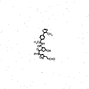 Cc1ncsc1-c1ccc([C@H](C)NC(=O)[C@@H]2C[C@@H](O)CN2C(=O)[C@@H](c2cc(CCC=O)no2)C(C)C)cc1